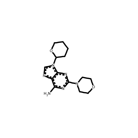 Nc1nc(N2CCOCC2)nc2c1ncn2C1CCCCO1